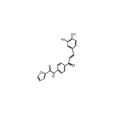 O=C(C=Cc1ccc(O)c(O)c1)c1ccc(NC(=O)c2ccco2)cc1